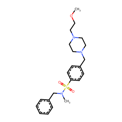 COCCN1CCN(Cc2ccc(S(=O)(=O)N(C)Cc3ccccc3)cc2)CC1